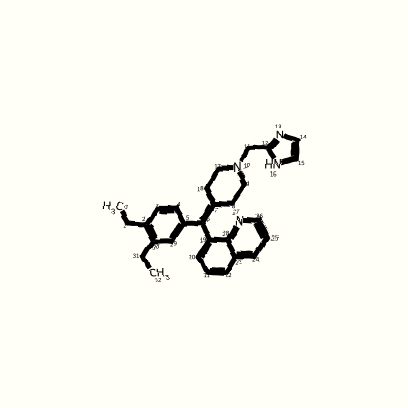 CCc1ccc(C(=C2CCN(Cc3ncc[nH]3)CC2)c2cccc3cccnc23)cc1CC